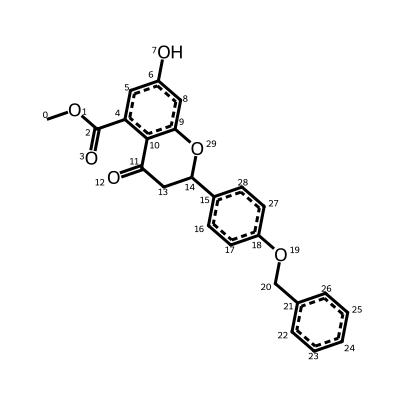 COC(=O)c1cc(O)cc2c1C(=O)CC(c1ccc(OCc3ccccc3)cc1)O2